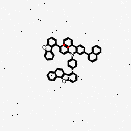 c1ccc(-c2ccc(-c3cccc4ccccc34)cc2N(c2ccc(-c3cccc4oc5ccccc5c34)cc2)c2ccc(-c3cccc4oc5c6ccccc6ccc5c34)cc2)cc1